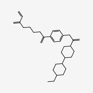 C=CC(=C)CCCCC(=C)c1ccc(CC(=C)C2CCC(C3CCC(CC)CC3)CC2)cc1